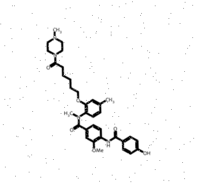 COc1cc(C(=O)N(C)c2ccc(C)cc2OCCCCCC(=O)N2CCN(C)CC2)ccc1NC(=O)c1ccc(O)cc1